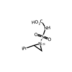 CC(C)C1C[N@@]1S(=O)(=O)NC(=O)O